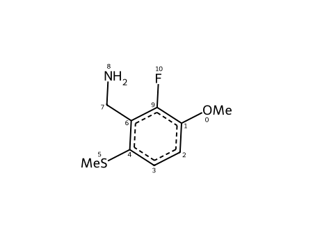 COc1ccc(SC)c(CN)c1F